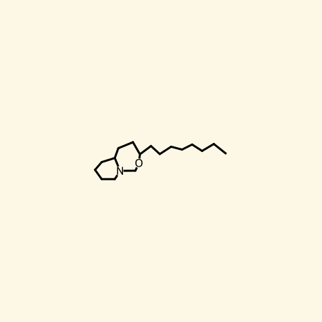 CCCCCCCCC1CCC2CCCCN2CO1